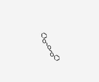 C(=COc1ccccc1)OC=COc1ccccc1